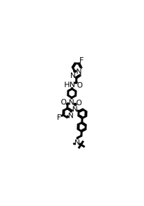 CN(CCc1ccc(-c2cccc(-n3c(=O)n(C4CCC(NC(=O)c5cn6cc(F)ccc6n5)CC4)c(=O)c4cc(F)cnc43)c2)cc1)C(C)(C)C